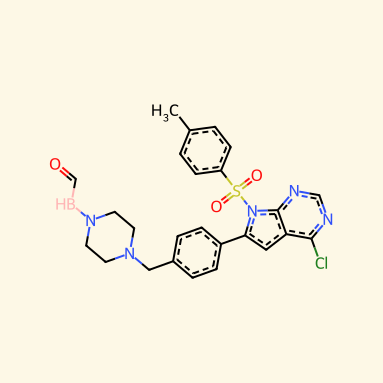 Cc1ccc(S(=O)(=O)n2c(-c3ccc(CN4CCN(BC=O)CC4)cc3)cc3c(Cl)ncnc32)cc1